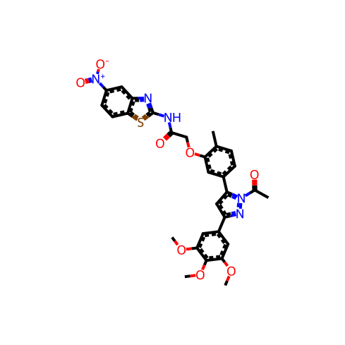 COc1cc(-c2cc(-c3ccc(C)c(OCC(=O)Nc4nc5cc([N+](=O)[O-])ccc5s4)c3)n(C(C)=O)n2)cc(OC)c1OC